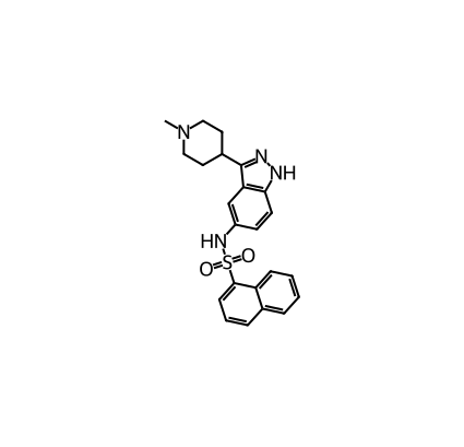 CN1CCC(c2n[nH]c3ccc(NS(=O)(=O)c4cccc5ccccc45)cc23)CC1